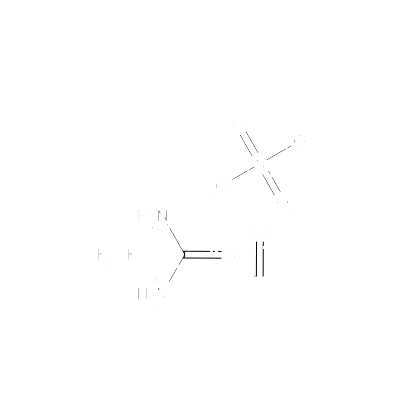 C=O.NC(N)=O.O=S(=O)([O-])[O-].[K+].[K+]